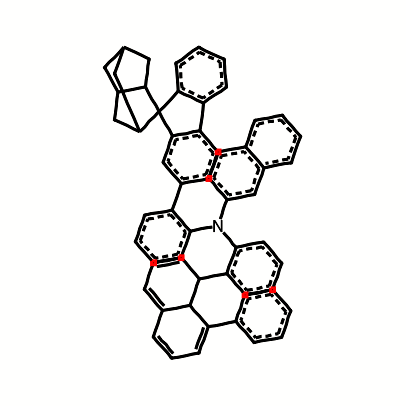 C1=CC2=CC=CC(c3ccccc3N(c3ccc4ccccc4c3)c3ccccc3-c3ccc4c(c3)C3(c5ccccc5-4)C4CC5CC(C4)C3C5)C2C(c2ccccc2)=C1